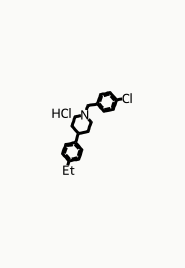 CCc1ccc(C2CCN(Cc3ccc(Cl)cc3)CC2)cc1.Cl